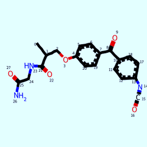 CC(COc1ccc(C(=O)c2ccc(N=C=O)cc2)cc1)C(=O)NCC(N)=O